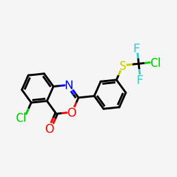 O=c1oc(-c2cccc(SC(F)(F)Cl)c2)nc2cccc(Cl)c12